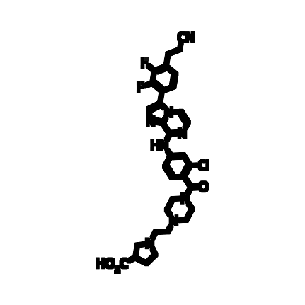 N#CCCc1ccc(-c2cnc3c(Nc4ccc(C(=O)N5CCN(CCN6CCC(C(=O)O)C6)CC5)c(Cl)c4)nccn23)c(F)c1F